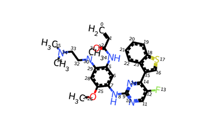 C=CC(=O)Nc1cc(Nc2ncc(F)c(-c3csc4ccccc34)n2)c(OC)cc1N(C)CCN(C)C